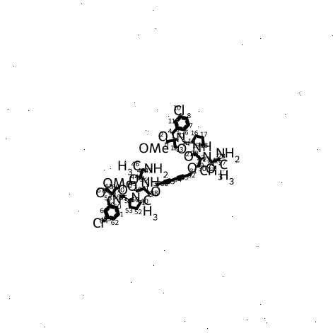 COC(=O)[C@@]1(Cc2cccc(Cl)c2)COC([C@@H]2CCCN2C(=O)[C@@H](NC(=O)[C@H](C)N)[C@@H](C)OCC#CC#CCO[C@H](C)[C@H](NC(=O)[C@H](C)N)C(=O)N2CCC[C@H]2C2=N[C@@](Cc3cccc(Cl)c3)(C(=O)OC)CO2)=N1